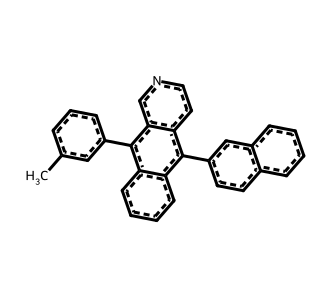 Cc1cccc(-c2c3ccccc3c(-c3ccc4ccccc4c3)c3ccncc23)c1